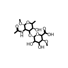 CO[C@@H]1OC(C)[C@@H](O)C(O[C@@H]2OC(C(=O)O)[C@@H](OC)C(O)C2O)C1NC(C)=O